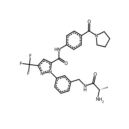 C[C@H](N)C(=O)NCc1cccc(-n2nc(C(F)(F)F)cc2C(=O)Nc2ccc(C(=O)N3CCCC3)cc2)c1